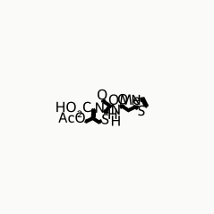 COC1(NC(=O)Cc2nccs2)C(=O)N2C(C(=O)O)=C(COC(C)=O)CS[C@H]21